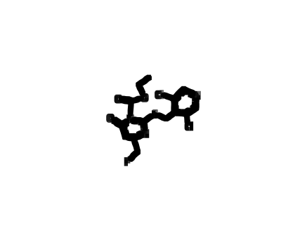 CCOC(=O)n1c(SCc2c(Cl)cncc2Cl)nc(CF)cc1=O